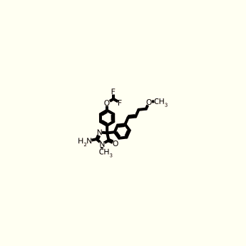 COCCC=Cc1cccc(C2(c3ccc(OC(F)F)cc3)N=C(N)N(C)C2=O)c1